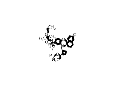 C=CCOC(C)(C)C(=O)N=S(N)(=O)c1ccc2c(c1)N(C[C@@H]1CC[C@H]1C(C=C)OC)C[C@@]1(CCCc3cc(Cl)ccc31)CO2